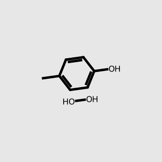 Cc1ccc(O)cc1.OO